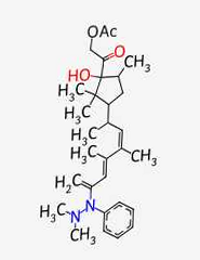 C=C(/C=C(C)/C(C)=C\C(C)C1CC(C)C(O)(C(=O)COC(C)=O)C1(C)C)N(c1ccccc1)N(C)C